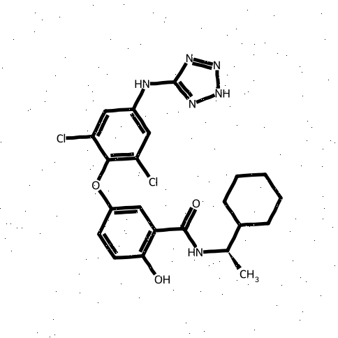 C[C@@H](NC(=O)c1cc(Oc2c(Cl)cc(Nc3nn[nH]n3)cc2Cl)ccc1O)C1CCCCC1